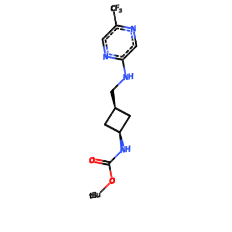 CC(C)(C)OC(=O)N[C@H]1C[C@@H](CNc2cnc(C(F)(F)F)cn2)C1